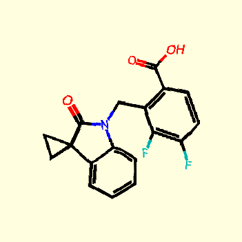 O=C(O)c1ccc(F)c(F)c1CN1C(=O)C2(CC2)c2ccccc21